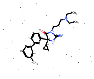 CCN(CC)CCCN1C(=N)NC(c2cccc(-c3cccc(C)c3)c2)(C2CC2)C1=O